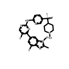 CCN1CCC([C@](C)(F)c2ccc(Nc3ncc(F)c(-c4cc(F)c5nc(C)n(C(C)C)c5c4)n3)nc2)CC1